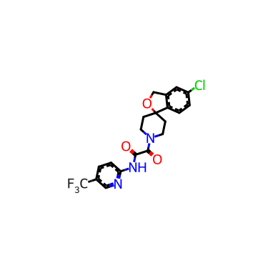 O=C(Nc1ccc(C(F)(F)F)cn1)C(=O)N1CCC2(CC1)OCc1cc(Cl)ccc12